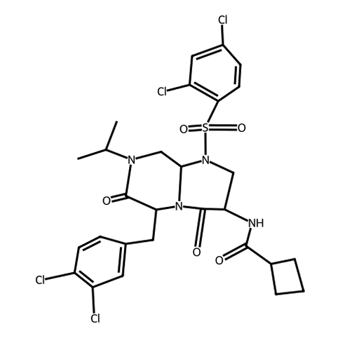 CC(C)N1CC2N(C(=O)C(NC(=O)C3CCC3)CN2S(=O)(=O)c2ccc(Cl)cc2Cl)C(Cc2ccc(Cl)c(Cl)c2)C1=O